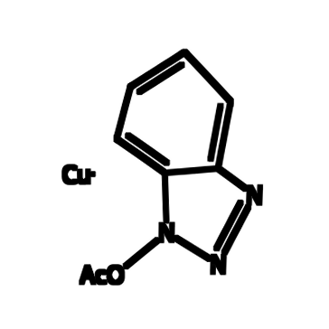 CC(=O)On1nnc2ccccc21.[Cu]